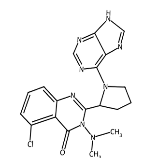 CN(C)n1c(C2CCCN2c2ncnc3[nH]cnc23)nc2cccc(Cl)c2c1=O